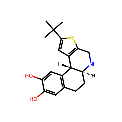 CC(C)(C)c1cc2c(s1)CN[C@H]1CCc3cc(O)c(O)cc3[C@H]21